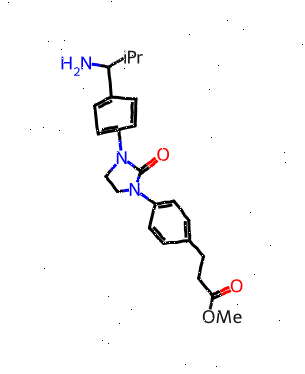 COC(=O)CCc1ccc(N2CCN(c3ccc(C(N)C(C)C)cc3)C2=O)cc1